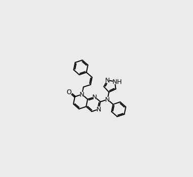 O=c1ccc2cnc(N(c3ccccc3)c3cn[nH]c3)nc2n1CC=Cc1ccccc1